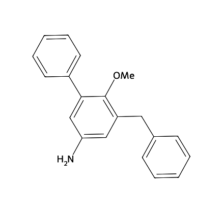 COc1c(Cc2ccccc2)cc(N)cc1-c1ccccc1